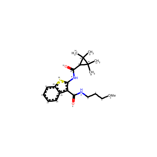 COCCCNC(=O)c1c(NC(=O)C2C(C)(C)C2(C)C)sc2ccccc12